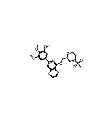 COc1cc(-c2cc3nccnc3c(OC[C@@H]3CN(S(C)(=O)=O)CCO3)n2)cc(OC)c1OC